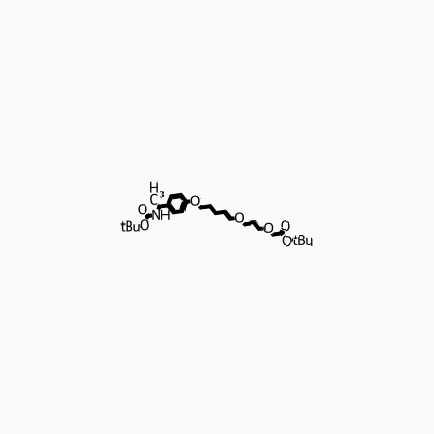 C[C@H](NC(=O)OC(C)(C)C)c1ccc(OCCCCCOCCCOCC(=O)OC(C)(C)C)cc1